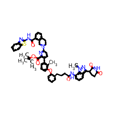 Cc1c(Oc2ccccc2CCCC(=O)Nc2cccc3c(C4CCC(=O)NC4=O)nn(C)c23)cccc1-c1ccc(N2CCc3cccc(C(=O)Nc4nc5ccccc5s4)c3C2)nc1C(=O)OC(C)(C)C